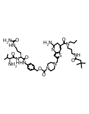 CCCN(CCCNC(=O)CC(C)(C)C)C(=O)C1=Cc2sc(CN3CCN(C(=O)OCc4ccc(NC(=O)[C@H](CCCNC(N)=O)NC(=O)[C@@H](N)C(C)C)cc4)CC3)cc2N=C(N)C1